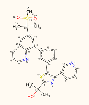 CC(C)(O)c1nc(-c2cccnc2)c(-c2cccc(-c3cc(C(C)(C)S(C)(=O)=O)cc4cccnc34)c2)s1